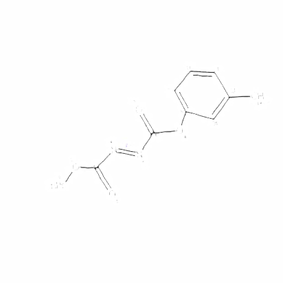 CCCOC(=O)/N=N/C(=O)Oc1cccc(C)c1